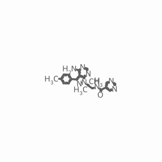 Cc1ccc(-c2nn(C(C)(C)CNC(=O)c3cncnc3)c3ncnc(N)c23)cc1